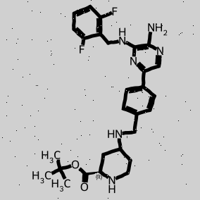 CC(C)(C)OC(=O)[C@H]1CC(NCc2ccc(-c3cnc(N)c(NCc4c(F)cccc4F)n3)cc2)CCN1